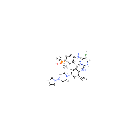 COc1cc(N2CCN(N3CCCC3)CC2)ccc1Nc1ncc(Cl)c(Nc2ccc(P(C)(C)=O)cc2OC)n1